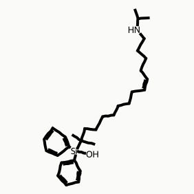 CC(C)NCCCC/C=C\CCCCCCCC(C)(C)[Si](O)(c1ccccc1)c1ccccc1